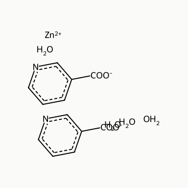 O.O.O.O.O=C([O-])c1cccnc1.O=C([O-])c1cccnc1.[Zn+2]